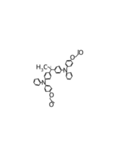 C[C]C(c1ccc(N(c2ccccc2)c2ccc(OCC3CO3)cc2)cc1)c1ccc(N(c2ccccc2)c2ccc(OCC3CO3)cc2)cc1